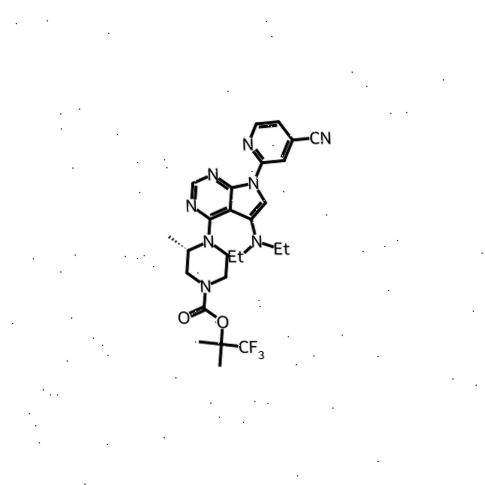 CCN(CC)c1cn(-c2cc(C#N)ccn2)c2ncnc(N3CCN(C(=O)OC(C)(C)C(F)(F)F)C[C@@H]3C)c12